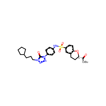 CC(C)COC(=O)[C@@H]1CCc2cc(S(=O)(=O)Nc3ccc(-n4nnn(CCCC5CCCC5)c4=O)cc3)ccc2O1